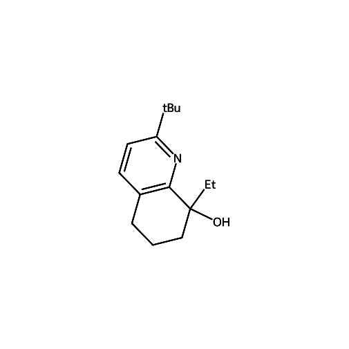 CCC1(O)CCCc2ccc(C(C)(C)C)nc21